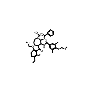 CCc1ccc(OCOC)c(C(=O)C2CCCN(C(=O)O)C(OC(=O)c3ccccc3)C2NC(=O)c2cc(C)c(OCOC)c(C)c2)c1F